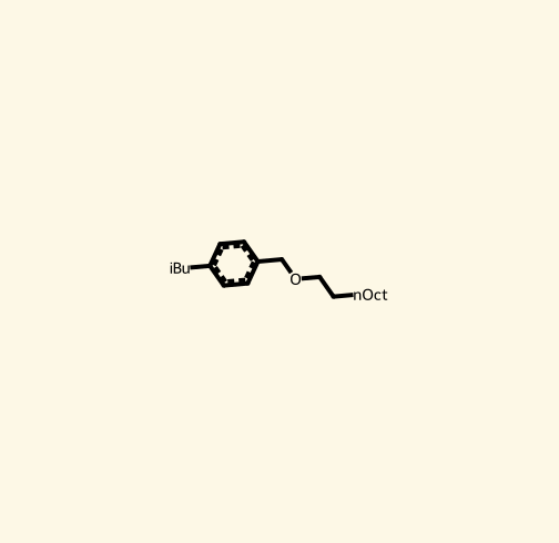 CCCCCCCCCCOCc1ccc(C(C)CC)cc1